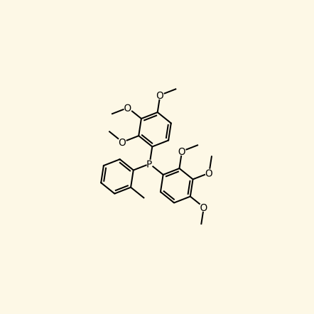 COc1ccc(P(c2ccccc2C)c2ccc(OC)c(OC)c2OC)c(OC)c1OC